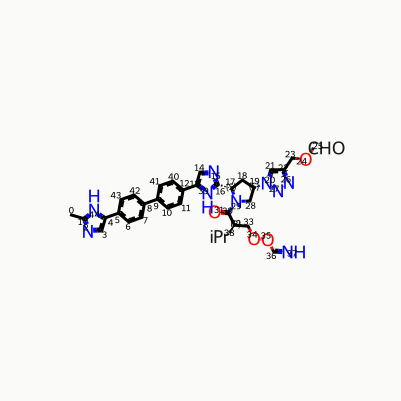 Cc1ncc(-c2ccc(-c3ccc(-c4cnc([C@@H]5C[C@H](n6cc(COC=O)nn6)CN5C(=O)[C@@H](COOC=N)C(C)C)[nH]4)cc3)cc2)[nH]1